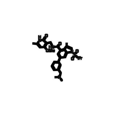 COc1cc(C)[nH]c(=O)c1CNC(=O)c1cc(-c2cccc(CN(C)C)c2)cc2c1c(C)cn2S(=O)(=O)C(C)C